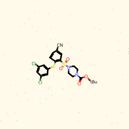 CC(C)(C)OC(=O)N1CCN(S(=O)(=O)c2cc(C#N)ccc2Sc2cc(Cl)cc(Cl)c2)CC1